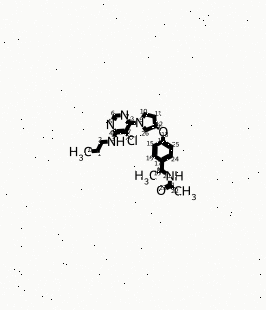 CCCNc1ncnc(N2CC[C@@H](Oc3ccc([C@H](C)NC(C)=O)cc3)C2)c1Cl